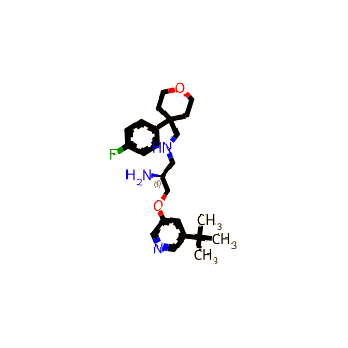 CC(C)(C)c1cncc(OC[C@@H](N)CNCC2(c3ccc(F)cc3)CCOCC2)c1